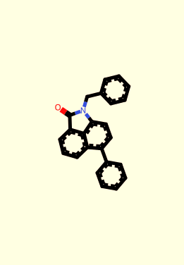 O=C1c2cccc3c(-c4ccccc4)ccc(c23)N1Cc1ccccc1